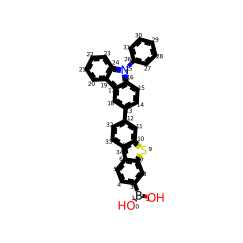 OB(O)c1ccc2c(c1)sc1cc(-c3ccc4c(c3)c3ccccc3n4-c3ccccc3)ccc12